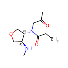 BCC(=O)N(CC(C)=O)[C@H]1COC[C@@H]1NC